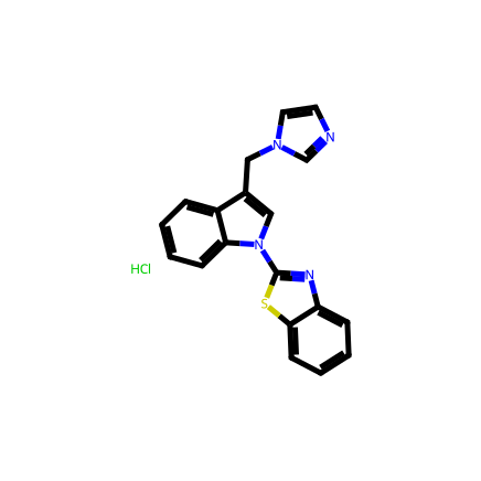 Cl.c1ccc2sc(-n3cc(Cn4ccnc4)c4ccccc43)nc2c1